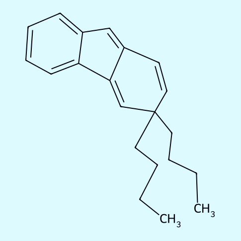 CCCCC1(CCCC)C=CC2=Cc3ccccc3C2=C1